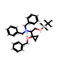 CC(C)(C)[Si](C)(C)OCC(N(Cc1ccccc1)Cc1ccccc1)C1(OCc2ccccc2)CC1